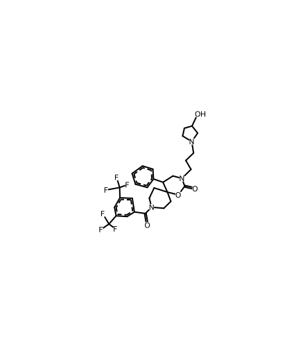 O=C1OC2(CCN(C(=O)c3cc(C(F)(F)F)cc(C(F)(F)F)c3)CC2)C(c2ccccc2)CN1CCCN1CCC(O)C1